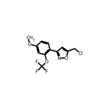 COc1ccc(-c2cc(CCl)on2)c(OC(F)(F)F)c1